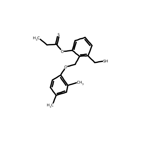 CCC(=S)Oc1cccc(CS)c1COc1ccc(C)cc1C